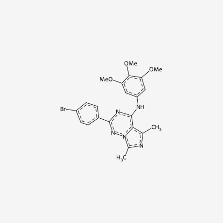 COc1cc(Nc2nc(-c3ccc(Br)cc3)nn3c(C)nc(C)c23)cc(OC)c1OC